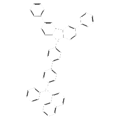 C1=CC2C(C=C1c1ccccc1)C1C=C(c3ccccc3)C=CC1N2c1ccc(-c2ccc(N(c3ccccc3)c3cccc4ccccc34)cc2)cc1